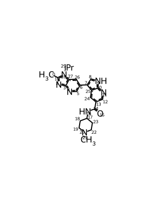 Cc1nc2ncc(-c3c[nH]c4ncc(C(=O)NC5CCN(C)CC5)cc34)cc2n1C(C)C